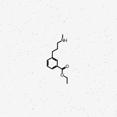 CCOC(=O)c1cccc(CCCNC)c1